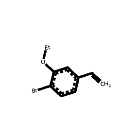 C=[C]c1ccc(Br)c(OCC)c1